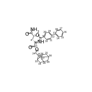 NC(=O)CC[C@H](NC(=O)c1ccc(-c2ccccc2)cc1)C(=O)OCC1C2CC3CC(C2)CC1C3